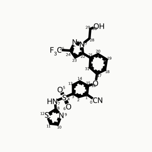 N#Cc1cc(S(=O)(=O)Nc2nccs2)ccc1Oc1cccc(-c2cc(C(F)(F)F)nn2CCO)c1